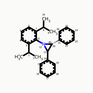 CC(C)c1cccc(C(C)C)c1N1C(c2ccccc2)[C@H]1c1ccccc1